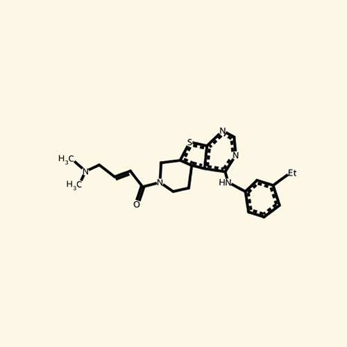 CCc1cccc(Nc2ncnc3sc4c(c23)CCN(C(=O)C=CCN(C)C)C4)c1